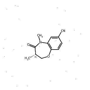 C[C@H]1COc2ccc(C#N)cc2N(C)C1=O